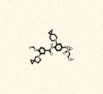 O=C(Nc1ccc(NS(=O)(=O)CCO)cc1N1CCC2(CC1)CC2)c1ccc(OCF)c(N2CCC3(CC3)C2)c1